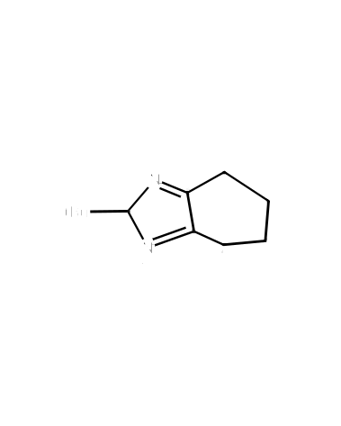 CC(C)(C)C1N=C2CCCCC2=N1